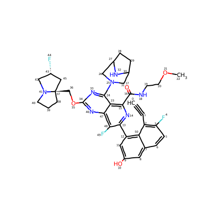 C#Cc1c(F)ccc2cc(O)cc(-c3nc(C(=O)NCCOC)c4c(N5CC6CCC(C5)N6)nc(OC[C@@]56CCCN5C[C@H](F)C6)nc4c3F)c12